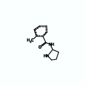 Cc1ccccc1C(=O)NC1CCCN1